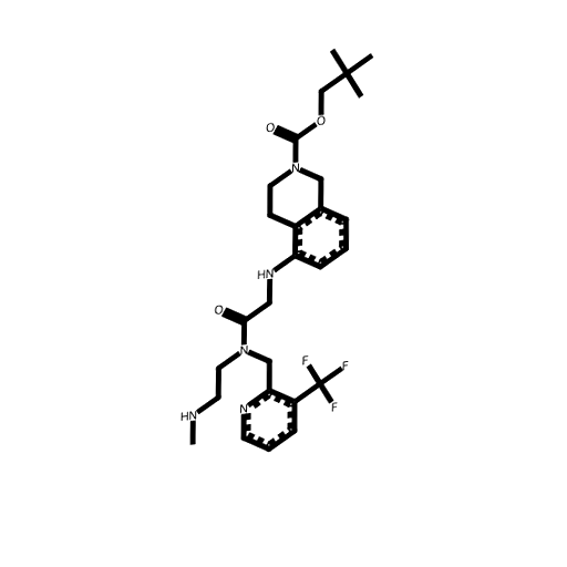 CNCCN(Cc1ncccc1C(F)(F)F)C(=O)CNc1cccc2c1CCN(C(=O)OCC(C)(C)C)C2